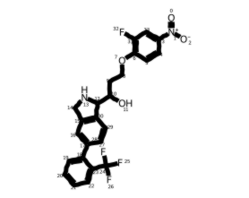 O=[N+]([O-])c1ccc(OCCC(O)C2NCc3cc(-c4ccccc4C(F)(F)F)ccc32)c(F)c1